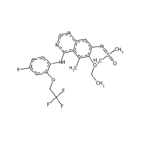 CCOc1c(N=S(C)(C)=O)cc2ncnc(Nc3ccc(F)cc3OCC(F)(F)F)c2c1C